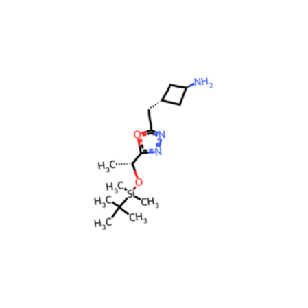 C[C@@H](O[Si](C)(C)C(C)(C)C)c1nnc(C[C@H]2C[C@H](N)C2)o1